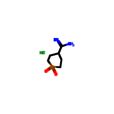 Cl.N=C(N)C1CCS(=O)(=O)CC1